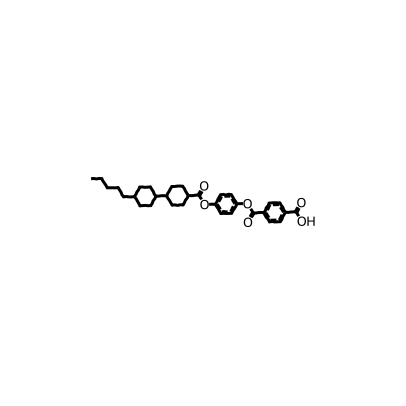 CCCCCC1CCC(C2CCC(C(=O)Oc3ccc(OC(=O)c4ccc(C(=O)O)cc4)cc3)CC2)CC1